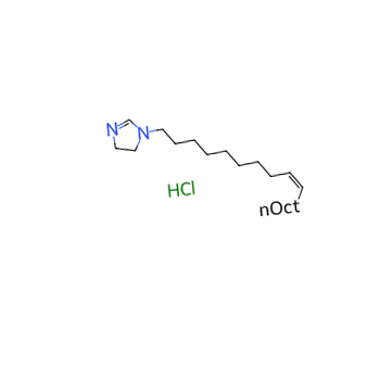 CCCCCCCC/C=C\CCCCCCCCN1C=NCC1.Cl